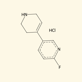 Cl.Fc1ccc(C2=CCNCC2)cn1